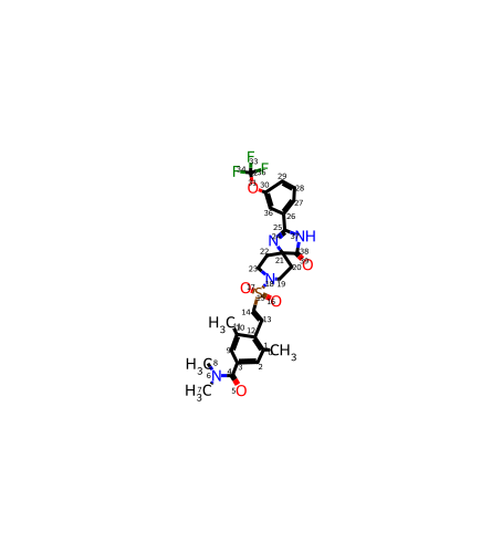 Cc1cc(C(=O)N(C)C)cc(C)c1C=CS(=O)(=O)N1CCC2(CC1)N=C(c1cccc(OC(F)(F)F)c1)NC2=O